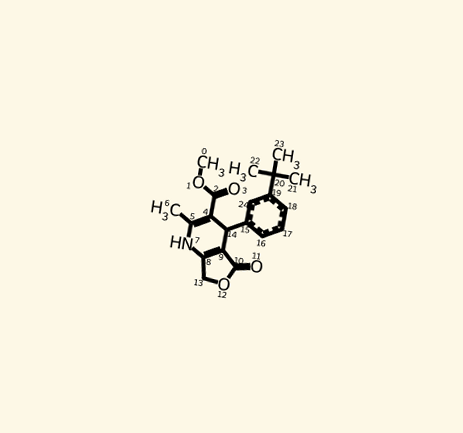 COC(=O)C1=C(C)NC2=C(C(=O)OC2)C1c1cccc(C(C)(C)C)c1